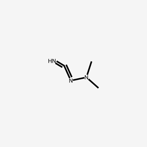 CN(C)N=C=N